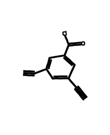 C#Cc1cc(C#C)cc(C(=O)Cl)c1